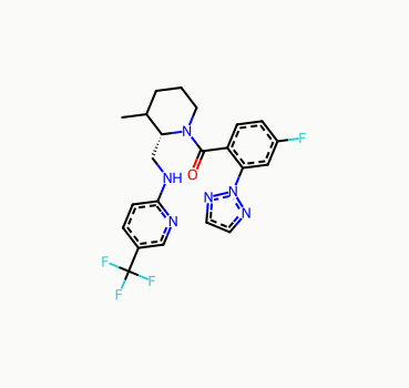 CC1CCCN(C(=O)c2ccc(F)cc2-n2nccn2)[C@@H]1CNc1ccc(C(F)(F)F)cn1